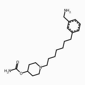 NCc1cccc(CCCCCCCN2CCC(OC(N)=O)CC2)c1